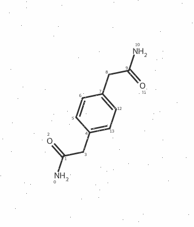 NC(=O)Cc1ccc(CC(N)=O)cc1